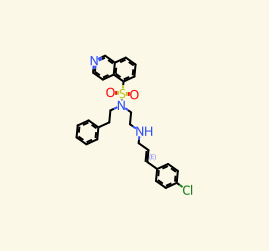 O=S(=O)(c1cccc2cnccc12)N(CCNC/C=C/c1ccc(Cl)cc1)CCc1ccccc1